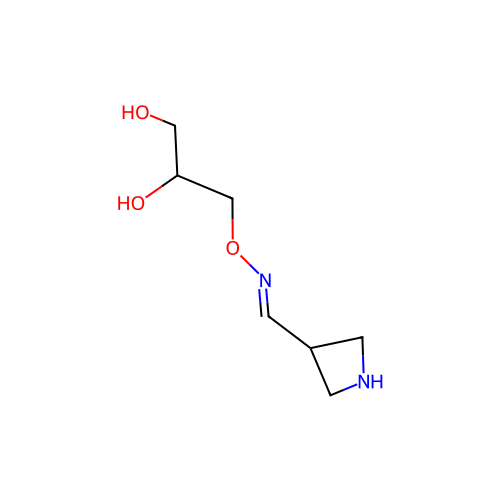 OCC(O)CON=CC1CNC1